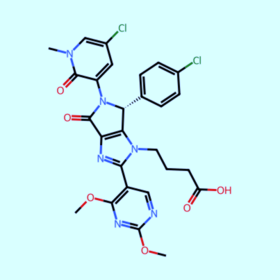 COc1ncc(-c2nc3c(n2CCCC(=O)O)[C@@H](c2ccc(Cl)cc2)N(c2cc(Cl)cn(C)c2=O)C3=O)c(OC)n1